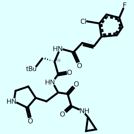 CC(C)(C)C[C@H](NC(=O)/C=C/c1ccc(F)cc1Cl)C(=O)NC(CC1CCNC1=O)C(=O)C(=O)NC1CC1